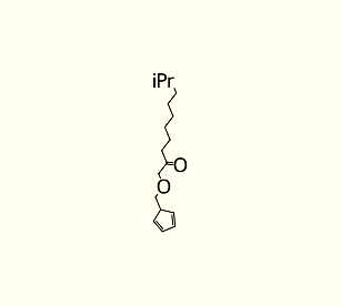 CC(C)CCCCCCC(=O)COCC1C=CC=C1